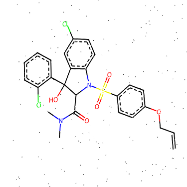 C=CCOc1ccc(S(=O)(=O)N2c3ccc(Cl)cc3C(O)(c3ccccc3Cl)C2C(=O)N(C)C)cc1